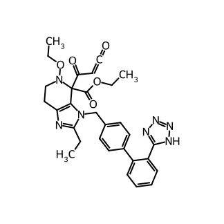 CCOC(=O)C1(C(=O)C=C=O)c2c(nc(CC)n2Cc2ccc(-c3ccccc3-c3nnn[nH]3)cc2)CCN1OCC